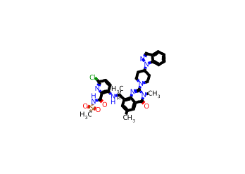 Cc1cc([C@@H](C)Nc2ccc(Cl)nc2C(=O)NS(C)(=O)=O)c2nc(N3CCC(n4ncc5ccccc54)CC3)n(C)c(=O)c2c1